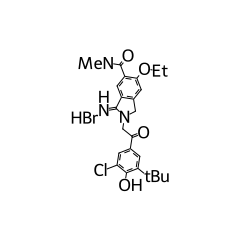 Br.CCOc1cc2c(cc1C(=O)NC)C(=N)N(CC(=O)c1cc(Cl)c(O)c(C(C)(C)C)c1)C2